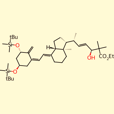 C=C1/C(=C\C=C2/CCC[C@]3(C)[C@@H]([C@H](C)/C=C/[C@H](O)C(C)(C)C(=O)OCC)CC[C@@H]23)C[C@@H](O[Si](C)(C)C(C)(C)C)C[C@@H]1O[Si](C)(C)C(C)(C)C